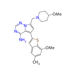 COc1cc(C)cc2cc(-c3cc(CN4CCC(OC)CC4)n4ncnc(N)c34)sc12